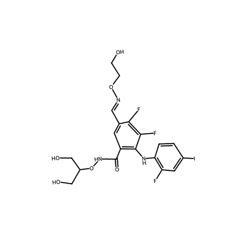 O=C(NOC(CO)CO)c1cc(/C=N/OCCO)c(F)c(F)c1Nc1ccc(I)cc1F